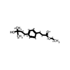 CCOC(=O)CCc1ccc(CCC(C)(C)O)cc1